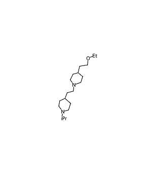 CCOCCC1CCN(CCC2CCN(C(C)C)CC2)CC1